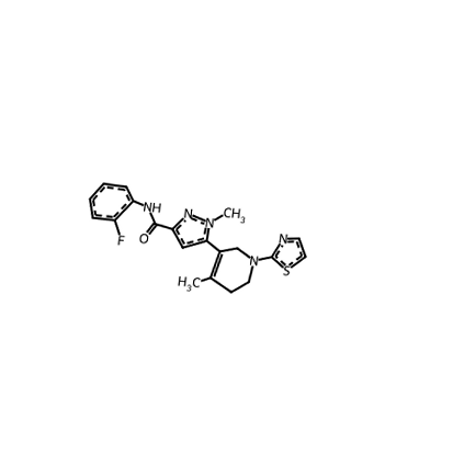 CC1=C(c2cc(C(=O)Nc3ccccc3F)nn2C)CN(c2nccs2)CC1